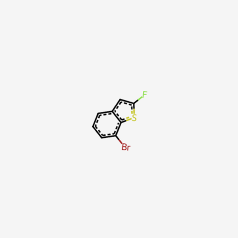 Fc1cc2cccc(Br)c2s1